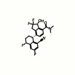 CN(C)C(=O)c1ccc([C@H]2CC[C@H](F)c3cc(F)cc(C#N)c32)c2c1[C@H](O)C(F)(F)C2